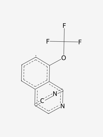 FC(F)(F)Oc1[c]ccc2c3cnc(nc3)c12